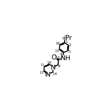 CC(C)c1ccc(NC(=O)CN2C=CC=NC2)cc1